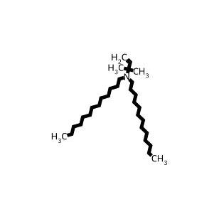 C=CC(C)(C)N(CCCCCCCCCCCCC)CCCCCCCCCCCCC